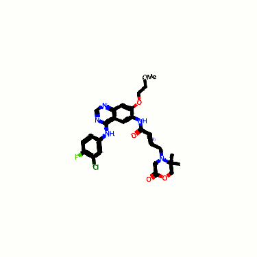 COCCOc1cc2ncnc(Nc3ccc(F)c(Cl)c3)c2cc1NC(=O)/C=C/CN1CC(=O)OCC1(C)C